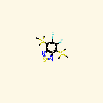 CS(C)(C)c1c(F)c(F)c(S(C)(C)C)c2nsnc12